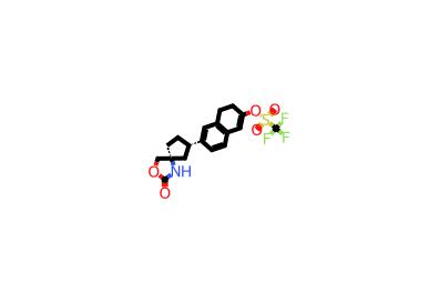 O=C1N[C@@]2(CC[C@H](c3ccc4c(c3)CCC(OS(=O)(=O)C(F)(F)F)=C4)C2)CO1